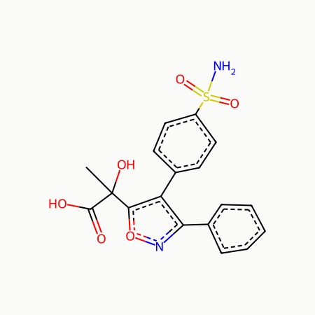 CC(O)(C(=O)O)c1onc(-c2ccccc2)c1-c1ccc(S(N)(=O)=O)cc1